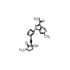 Cc1cc2c(cn1)c(C(N)=O)nn2-c1cccc(C#CC2(O)CCN(C)C2=O)c1